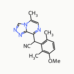 COc1ccc(C)c(C(C#N)c2ncc(C)n3cnnc23)c1C